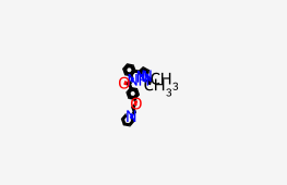 CC(C)n1ccc(-c2ccccc2NC(=O)c2ccc(OCCN3CCCCC3)cc2)n1